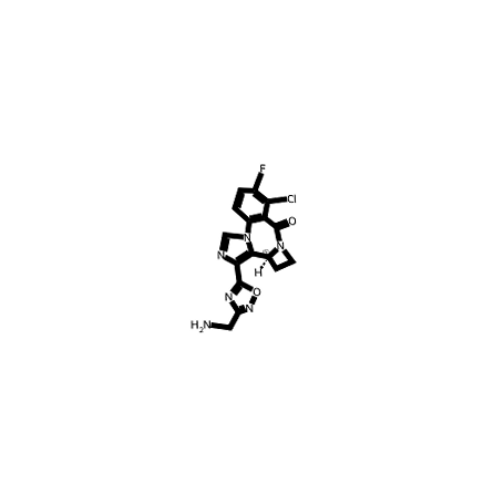 NCc1noc(-c2ncn3c2[C@@H]2CCN2C(=O)c2c-3ccc(F)c2Cl)n1